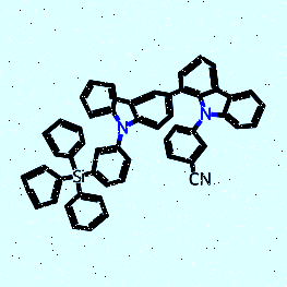 N#Cc1cccc(-n2c3ccccc3c3cccc(-c4ccc5c(c4)c4ccccc4n5-c4cccc([Si](c5ccccc5)(c5ccccc5)c5ccccc5)c4)c32)c1